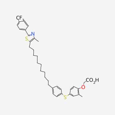 Cc1cc(Sc2ccc(CCCCCCCCCCCc3sc(-c4ccc(C(F)(F)F)cc4)nc3C)cc2)ccc1OCC(=O)O